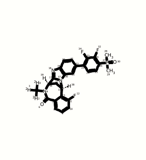 [2H]C([2H])([2H])N1C(=O)c2cccc(F)c2[C@H]2C[C@@H]1c1nc3ccc(-c4ccc(P(C)(C)=O)c(F)c4F)cc3n12